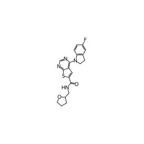 O=C(NCC1CCCO1)c1cc2c(N3CCc4cc(F)ccc43)ncnc2s1